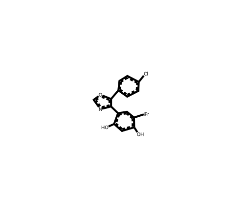 CC(C)c1cc(-c2ncoc2-c2ccc(Cl)cc2)c(O)cc1O